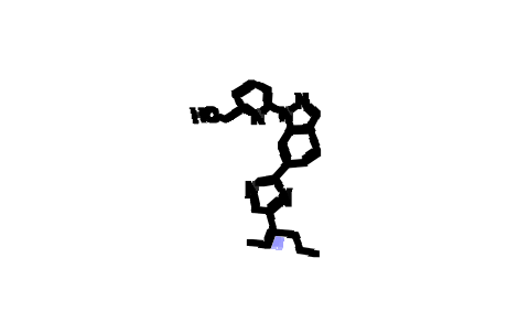 C/C=C(/CCC)c1cncc(-c2ccc3cnn(-c4cccc(CO)n4)c3c2)n1